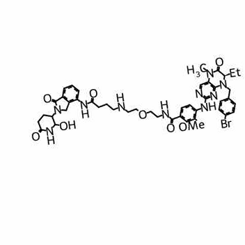 CC[C@@H]1C(=O)N(C)c2cnc(Nc3ccc(C(=O)NCCOCCNCCCC(=O)Nc4cccc5c4CN(C4CCC(=O)NC4O)C5=O)cc3OC)nc2N1Cc1ccc(Br)cc1